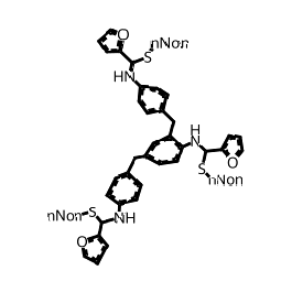 CCCCCCCCCSC(Nc1ccc(Cc2ccc(NC(SCCCCCCCCC)c3ccco3)c(Cc3ccc(NC(SCCCCCCCCC)c4ccco4)cc3)c2)cc1)c1ccco1